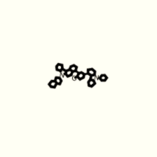 c1ccc(-n2c3ccccc3c3c(-c4ccc5c(c4)-c4cccc6c4c(cc4c6c6ccccc6n4-c4ccc6ccccc6c4)O5)cccc32)cc1